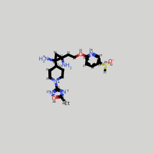 CCc1nc(N2CCC(C3(N)CC3(N)CCOc3ccc([S+](C)[O-])cn3)CC2)no1